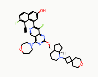 C#Cc1c(F)ccc2cc(O)cc(-c3ncc4c(N5CCCOCC5)nc(OC[C@]56CCC[C@H]5N(C5CC7(CCOCC7)C5)CCC6)nc4c3F)c12